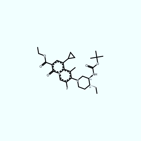 CCOC(=O)c1cc(C2CC2)c2c(C)c(N3CC[C@@H](CC)[C@H](NC(=O)OC(C)(C)C)C3)c(F)cn2c1=O